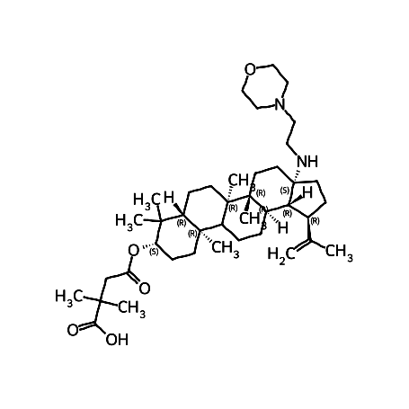 C=C(C)[C@@H]1CC[C@]2(NCCN3CCOCC3)CC[C@]3(C)[C@H](CCC4[C@@]5(C)CC[C@H](OC(=O)CC(C)(C)C(=O)O)C(C)(C)[C@@H]5CC[C@]43C)[C@@H]12